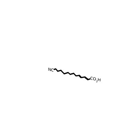 N#CCCCCCCCCC=CC=CC(=O)O